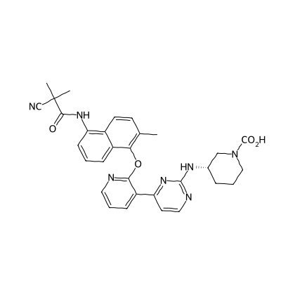 Cc1ccc2c(NC(=O)C(C)(C)C#N)cccc2c1Oc1ncccc1-c1ccnc(N[C@H]2CCCN(C(=O)O)C2)n1